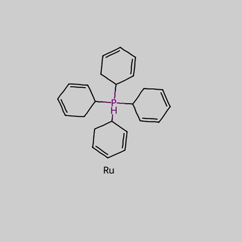 C1=CCC([PH](C2C=CC=CC2)(C2C=CC=CC2)C2C=CC=CC2)C=C1.[Ru]